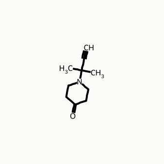 C#CC(C)(C)N1CCC(=O)CC1